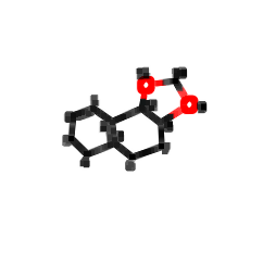 C1=CC2=C(CC1)CCC1OCOC21